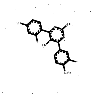 COc1ccc(-c2nc(C)nc(-c3ccc(C(F)(F)F)cc3F)c2N)cc1Cl